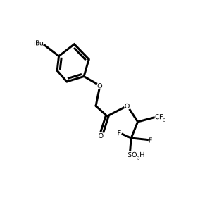 CCC(C)c1ccc(OCC(=O)OC(C(F)(F)F)C(F)(F)S(=O)(=O)O)cc1